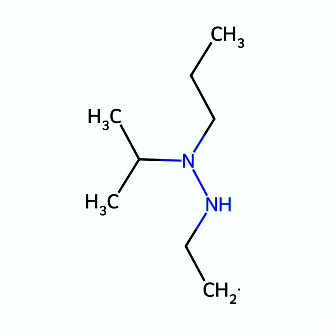 [CH2]CNN(CCC)C(C)C